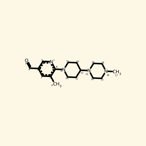 Cc1cc(C=O)cnc1N1CCC(N2CCN(C)CC2)CC1